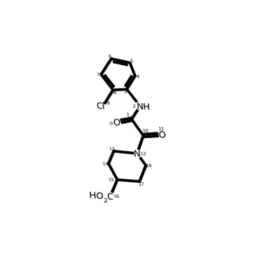 O=C(Nc1ccccc1Cl)C(=O)N1CCC(C(=O)O)CC1